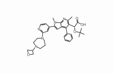 Cc1nc2c(cc(-c3ccnc(N4CCCN(C5COC5)CC4)c3)n2C)c(-c2ccccc2)c1[C@H](OC(C)(C)C)C(=O)O